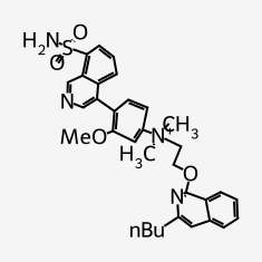 CCCCc1cc2ccccc2c(OCC[N+](C)(C)c2ccc(-c3cncc4c(S(N)(=O)=O)cccc34)c(OC)c2)n1